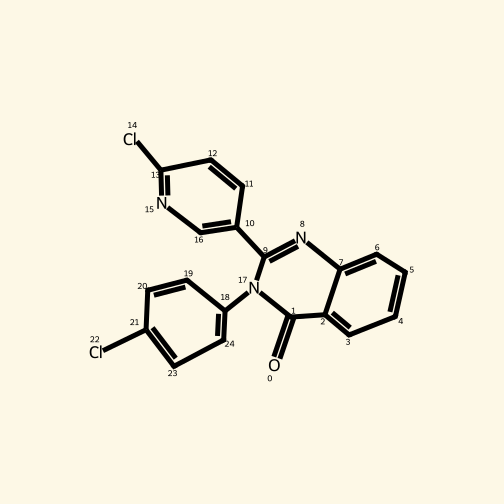 O=c1c2ccccc2nc(-c2ccc(Cl)nc2)n1-c1ccc(Cl)cc1